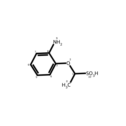 CC(Oc1ccccc1N)S(=O)(=O)O